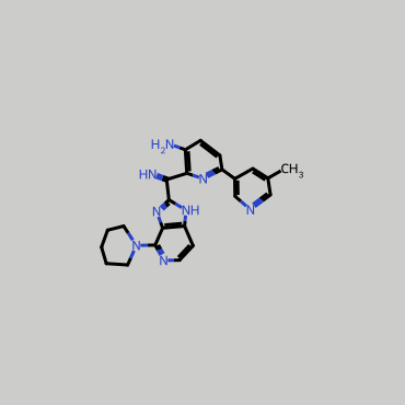 Cc1cncc(-c2ccc(N)c(C(=N)c3nc4c(N5CCCCC5)nccc4[nH]3)n2)c1